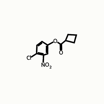 O=C(Oc1ccc(Cl)c([N+](=O)[O-])c1)C1CCC1